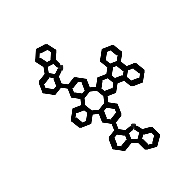 c1ccc2c(c1)-c1cc(-c3cccc4c3oc3ccccc34)ccc1-c1cc3c4ccccc4c4ccccc4c3cc1-c1ccc(-c3cccc4c3oc3ccccc34)cc1-2